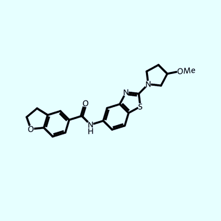 COC1CCN(c2nc3cc(NC(=O)c4ccc5c(c4)CCO5)ccc3s2)C1